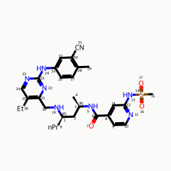 CCC[C@H](C[C@@H](C)NC(=O)c1ccnc(NS(C)(=O)=O)c1)NCc1nc(Nc2ccc(C)c(C#N)c2)ncc1CC